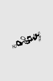 CNC(=O)c1ccc(N2CCC[C@@]3(CCN([C@H]4CC[C@H](O)CC4)C3=O)C2)nc1